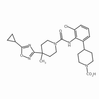 CC1(c2noc(C3CC3)n2)CCN(C(=O)Nc2c(Cl)cccc2C2CCN(C(=O)O)CC2)CC1